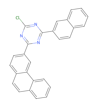 Clc1nc(-c2ccc3ccccc3c2)nc(-c2ccc3ccc4ccccc4c3c2)n1